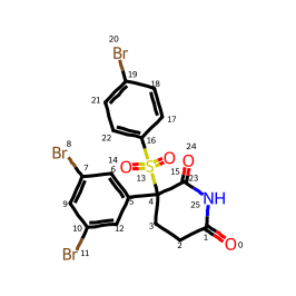 O=C1CCC(c2cc(Br)cc(Br)c2)(S(=O)(=O)c2ccc(Br)cc2)C(=O)N1